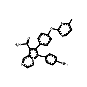 Cc1ccnc(Oc2ccc(-c3c(C(N)=O)c4cnccn4c3-c3ccc(N)cc3)cc2)n1